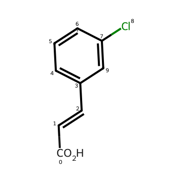 O=C(O)C=Cc1cc[c]c(Cl)c1